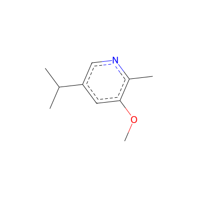 COc1cc(C(C)C)cnc1C